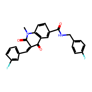 CN1C(=O)/C(=C\c2cccc(F)c2)C(=O)c2cc(C(=O)NCc3ccc(F)cc3)ccc21